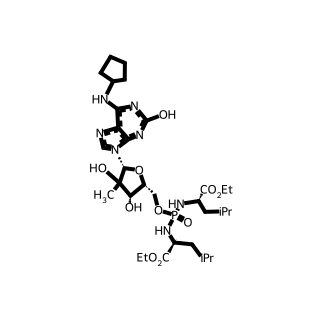 CCOC(=O)[C@H](CC(C)C)NP(=O)(N[C@@H](CC(C)C)C(=O)OCC)OC[C@H]1O[C@@H](n2cnc3c(NC4CCCC4)nc(O)nc32)C(C)(O)[C@H]1O